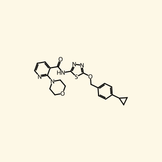 O=C(Nc1nnc(OCc2ccc(C3CC3)cc2)s1)c1cccnc1N1CCOCC1